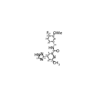 COc1cc(CNC(=O)c2cc(-c3nc[nH]n3)cc(C)n2)ccc1F